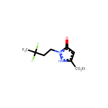 CCOC(=O)c1cc(=O)n(CCC(F)(F)C(F)(F)F)[nH]1